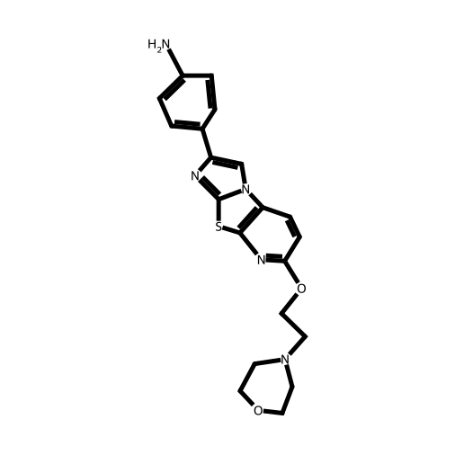 Nc1ccc(-c2cn3c(n2)sc2nc(OCCN4CCOCC4)ccc23)cc1